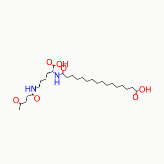 CC(=O)CCC(=O)NCCCC[C@H](NC(=O)CCCCCCCCCCCCCCC(=O)O)C(=O)O